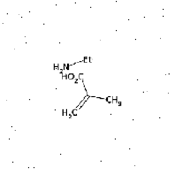 C=C(C)C(=O)O.C[CH]N